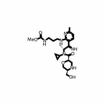 COC(=O)NCCCNc1nc(C)ccc1C(=N)[C@@H](C)N(C(=O)[C@H]1CN[C@@H](CO)CO1)C1CC1